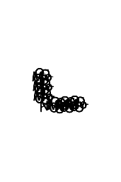 CC[N+](C)(CC)CC.[O]=[Mo](=[O])([O-])[O-].[O]=[Mo](=[O])([O-])[O-].[O]=[Mo](=[O])([O-])[O-].[O]=[Mo](=[O])([O-])[O-].[O]=[Mo](=[O])([O-])[O-].[O]=[Mo](=[O])([O-])[O-]